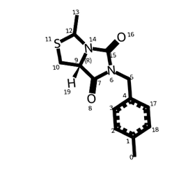 Cc1ccc(CN2C(=O)[C@@H]3CSC(C)N3C2=O)cc1